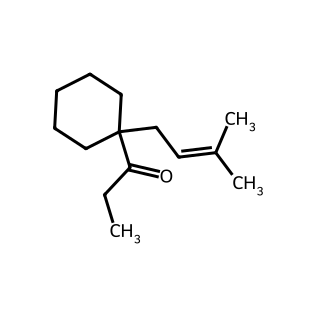 CCC(=O)C1(CC=C(C)C)CCCCC1